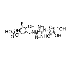 O=P(O)(O)Oc1cc(F)c(O)c(CNc2ncnc3c2ncn3[C@@H]2O[C@H](CO)[C@@H](O)[C@H]2O)c1